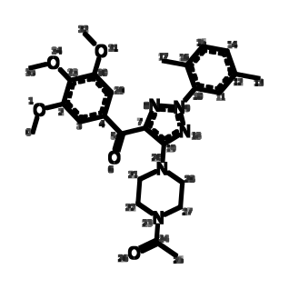 COc1cc(C(=O)c2nn(-c3cc(C)ccc3C)nc2N2CCN(C(C)=O)CC2)cc(OC)c1OC